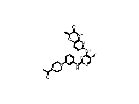 C=C1Oc2ccc(Nc3nc(Nc4cccc(N5CCN(C(C)=O)CC5)c4)ncc3F)nc2NC1=O